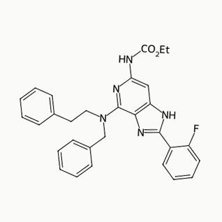 CCOC(=O)Nc1cc2[nH]c(-c3ccccc3F)nc2c(N(CCc2ccccc2)Cc2ccccc2)n1